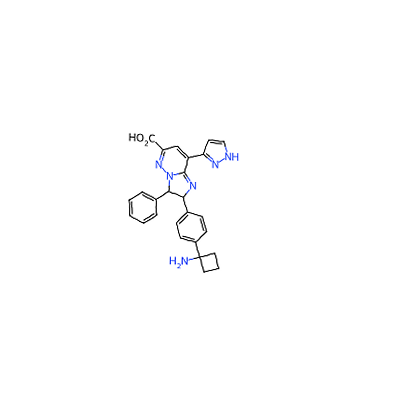 NC1(c2ccc(C3N=C4C(c5cc[nH]n5)=CC(C(=O)O)=NN4C3c3ccccc3)cc2)CCC1